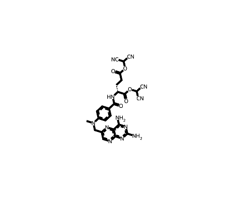 CN(Cc1cnc2nc(N)nc(N)c2n1)c1ccc(C(=O)N[C@H](CCC(=O)OC(C#N)C#N)C(=O)OC(C#N)C#N)cc1